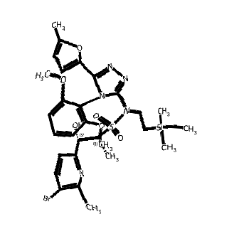 COc1cccc(OC)c1-n1c(-c2ccc(C)o2)nnc1N(CC[Si](C)(C)C)S(=O)(=O)[C@H](C)[C@@H](O)c1ccc(Br)c(C)n1